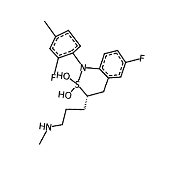 CNCCC[C@H]1Cc2cc(F)ccc2N(c2ccc(C)cc2F)S1(O)O